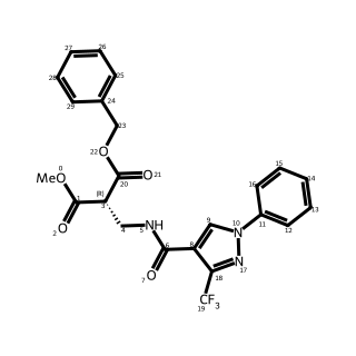 COC(=O)[C@@H](CNC(=O)c1cn(-c2ccccc2)nc1C(F)(F)F)C(=O)OCc1ccccc1